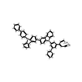 C#C/C=C(\C=C/C)c1cc(-c2ccccc2)cc(-n2c3ccccc3c3cc(-c4ccc5c(c4)c4ccccc4n5-c4ccc(-c5ccccc5)cc4)ccc32)c1